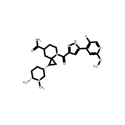 COc1cc(-c2cc(C(=O)N3CCC(C(N)=O)CC34CC4[C@H]3CC[C@@H](C)N(C)C3)n[nH]2)c(F)cn1